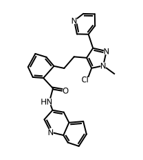 Cn1nc(-c2cccnc2)c(CCc2ccccc2C(=O)Nc2cnc3ccccc3c2)c1Cl